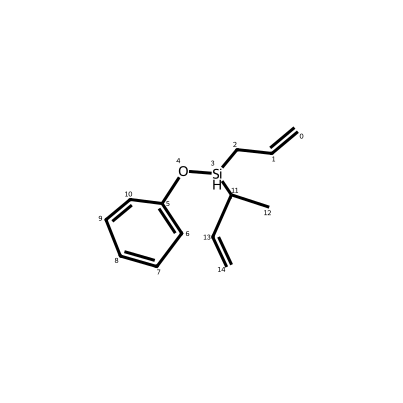 C=CC[SiH](Oc1ccccc1)[C](C)C=C